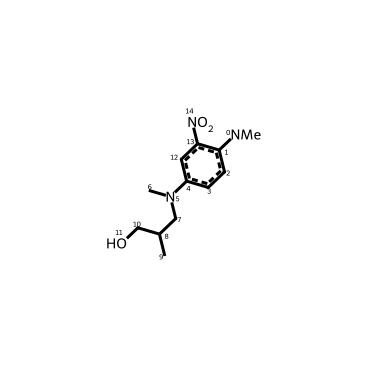 CNc1ccc(N(C)CC(C)CO)cc1[N+](=O)[O-]